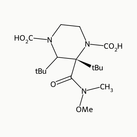 CON(C)C(=O)[C@]1(C(C)(C)C)C(C(C)(C)C)N(C(=O)O)CCN1C(=O)O